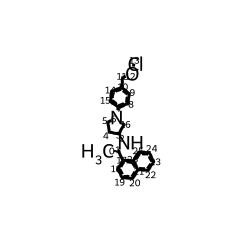 C[C@@H](N[C@H]1CCN(c2ccc(COCl)cc2)C1)c1cccc2ccccc12